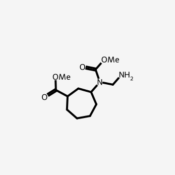 COC(=O)C1CCCCC(N(CN)C(=O)OC)C1